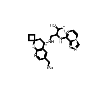 CC(O)C(CN[C@H]1CC2(CCC2)Oc2ncc(CC(C)(C)C)cc21)Nc1nccn2cnnc12